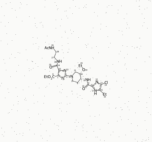 CCOC(=O)c1sc(N2CC[C@@H](NC(=O)c3nc(Cl)c(CC)[nH]3)[C@@H](OCC)C2)nc1C(=O)NCCNC(C)=O